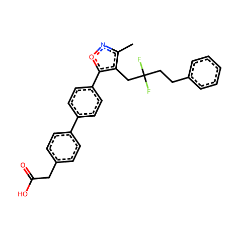 Cc1noc(-c2ccc(-c3ccc(CC(=O)O)cc3)cc2)c1CC(F)(F)CCc1ccccc1